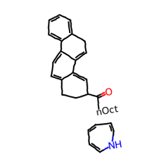 C1=CC=CNC=C1.CCCCCCCCC(=O)C1C=c2c(ccc3c2=CCc2ccccc2-3)CC1